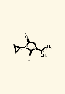 CC(C)N1CC(=O)N(C2CC2)C1=O